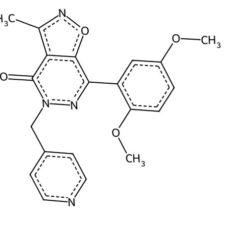 COc1ccc(OC)c(-c2nn(Cc3ccncc3)c(=O)c3c(C)noc23)c1